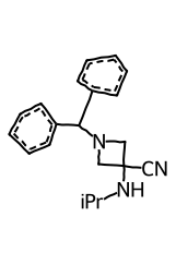 CC(C)NC1(C#N)CN(C(c2ccccc2)c2ccccc2)C1